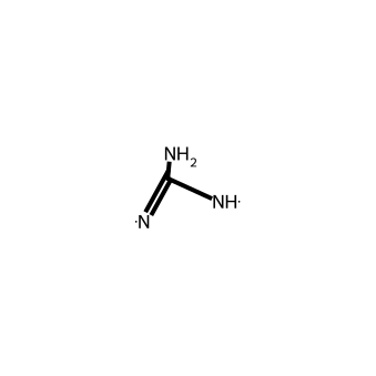 [N]=C([NH])N